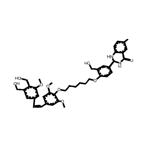 COc1cc(/C=C\c2cc(OC)c(OCCCCCCOc3ccc(C4NC(=O)c5cc(C)ccc5N4)cc3CO)c(OC)c2)cc(CO)c1CO